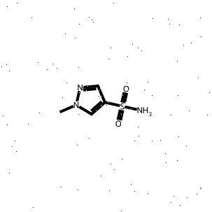 Cn1cc(S(N)(=O)=O)cn1